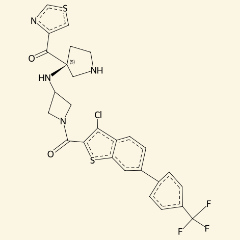 O=C(c1sc2cc(-c3ccc(C(F)(F)F)cc3)ccc2c1Cl)N1CC(N[C@@]2(C(=O)c3cscn3)CCNC2)C1